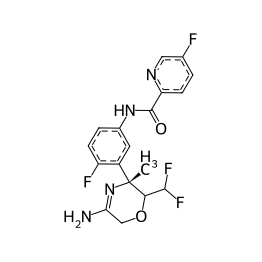 C[C@]1(c2cc(NC(=O)c3ccc(F)cn3)ccc2F)N=C(N)COC1C(F)F